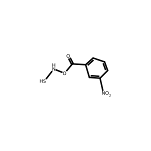 O=C(ONS)c1cccc([N+](=O)[O-])c1